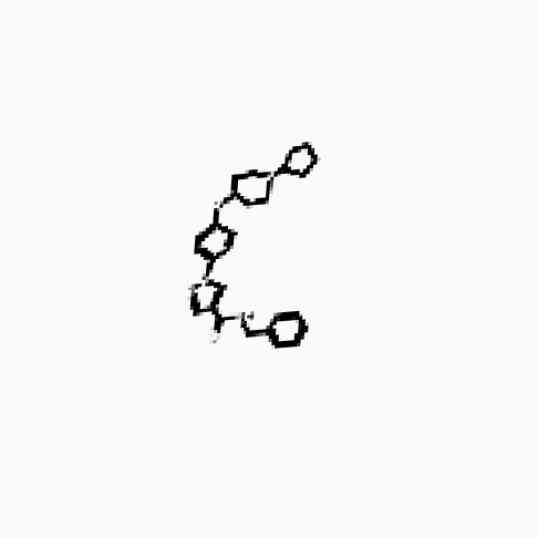 O=C(NCc1ccccc1)c1cnn(-c2ccc(OC3CCN(C4CCCC4)CC3)cc2)c1